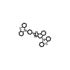 c1ccc2c(c1)Sc1ccccc1N2c1ccc(-n2nc3cc(N4c5ccccc5Sc5ccccc54)c4ccccc4c3n2)cc1